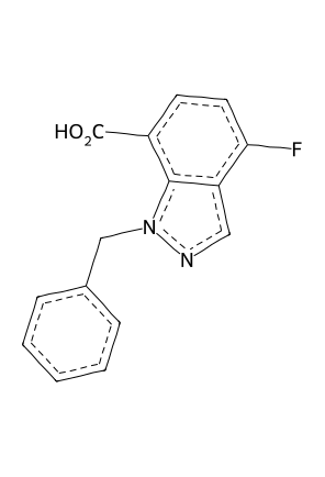 O=C(O)c1ccc(F)c2cnn(Cc3ccccc3)c12